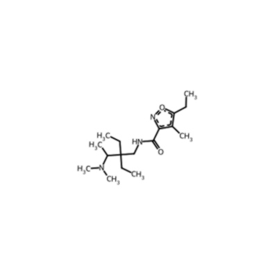 CCc1onc(C(=O)NCC(CC)(CC)C(C)N(C)C)c1C